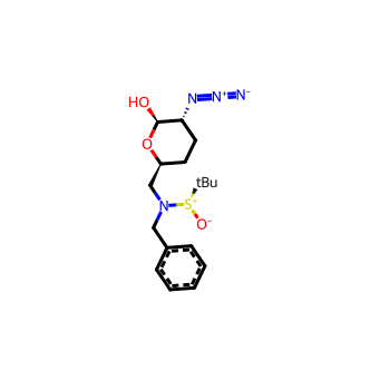 CC(C)(C)[S@@+]([O-])N(Cc1ccccc1)C[C@@H]1CC[C@@H](N=[N+]=[N-])[C@H](O)O1